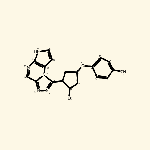 CCC1CC(Oc2ccc(C#N)cc2)CC1c1nnc2cnc3[nH]ccc3n12